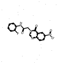 O=C(Cn1cnc2ccc([N+](=O)[O-])cc2c1=O)Nc1ccccc1F